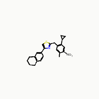 Cc1cc(Cc2nc(-c3ccc4c(c3)CCCC4)cs2)c(C2CC2)cc1[N+](=O)[O-]